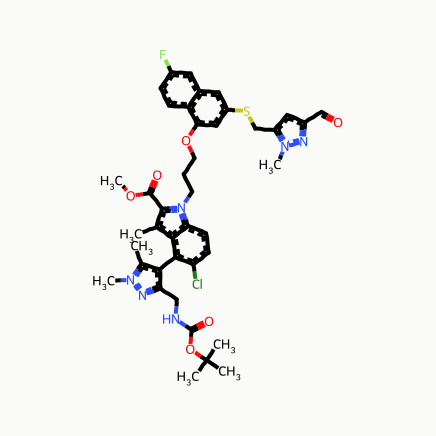 COC(=O)c1c(C)c2c(-c3c(CNC(=O)OC(C)(C)C)nn(C)c3C)c(Cl)ccc2n1CCCOc1cc(SCc2cc(C=O)nn2C)cc2cc(F)ccc12